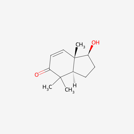 CC1(C)C(=O)C=C[C@]2(C)[C@@H](O)CC[C@@H]12